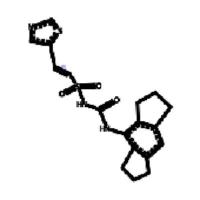 O=C(Nc1c2c(cc3c1CCC3)CCC2)NS(=O)(=O)/C=C/c1cncs1